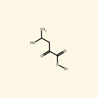 CCOC(=O)C(=O)CC(C)O